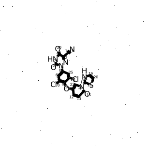 N#Cc1nn(-c2cc(Cl)c(Oc3ccc(=O)n(C4NC=CS4)c3)c(Cl)c2)c(=O)[nH]c1=O